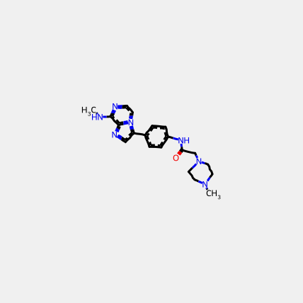 CNc1nccn2c(-c3ccc(NC(=O)CN4CCN(C)CC4)cc3)cnc12